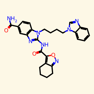 NC(=O)c1ccc2c(c1)nc(NC(=O)c1onc3c1CCCC3)n2CCCCn1cnc2ccccc21